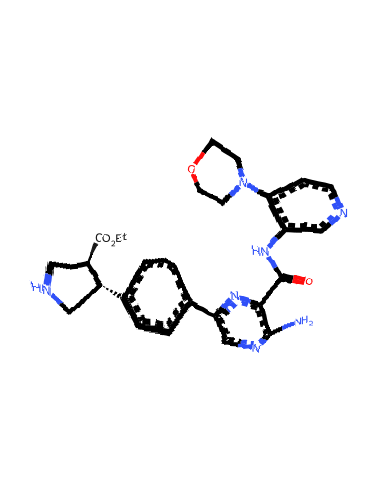 CCOC(=O)[C@@H]1CNC[C@H]1c1ccc(-c2cnc(N)c(C(=O)Nc3cnccc3N3CCOCC3)n2)cc1